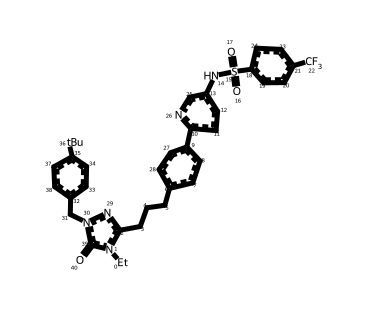 CCn1c(CCCc2ccc(-c3ccc(NS(=O)(=O)c4ccc(C(F)(F)F)cc4)cn3)cc2)nn(Cc2ccc(C(C)(C)C)cc2)c1=O